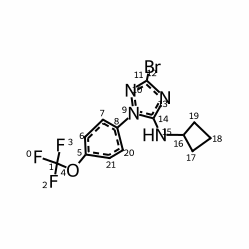 FC(F)(F)Oc1ccc(-n2nc(Br)nc2NC2CCC2)cc1